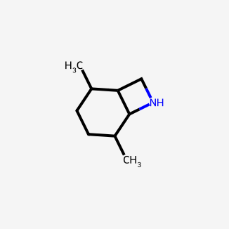 CC1CCC(C)C2NCC12